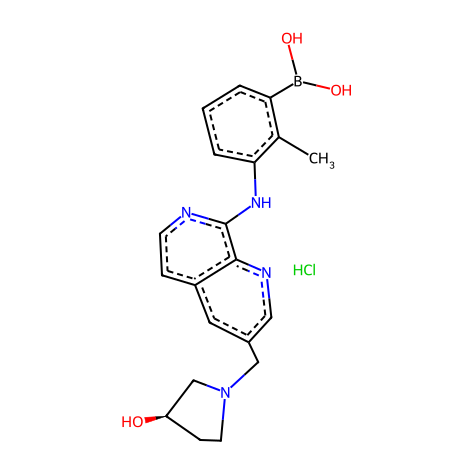 Cc1c(Nc2nccc3cc(CN4CC[C@@H](O)C4)cnc23)cccc1B(O)O.Cl